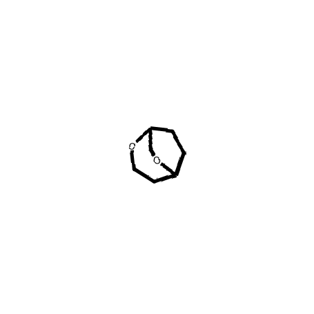 C1CC2CCC(CO2)O1